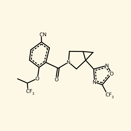 CC(Oc1ccc(C#N)cc1C(=O)N1CC2CC2(c2noc(C(F)(F)F)n2)C1)C(F)(F)F